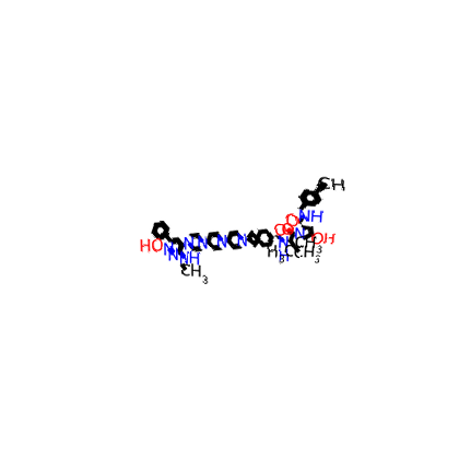 C#Cc1ccc(CNC(=O)[C@@H]2C[C@@H](O)CN2C(=O)[C@@H](NC(=O)[C@H]2CCC3(CC2)C[C@H](N2CCC(N4CCC(N5CCN(c6cc(-c7ccccc7O)nnc6NCC)CC5)CC4)CC2)C3)C(C)(C)C)cc1